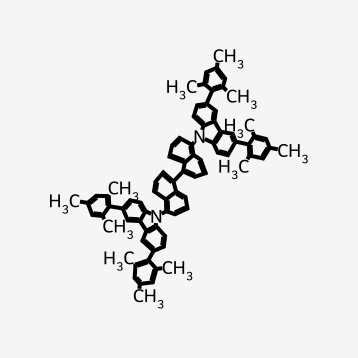 Cc1cc(C)c(-c2ccc3c(c2)c2cc(-c4c(C)cc(C)cc4C)ccc2n3-c2cccc3c(-c4cccc5c(-n6c7ccc(-c8c(C)cc(C)cc8C)cc7c7cc(-c8c(C)cc(C)cc8C)ccc76)cccc45)cccc23)c(C)c1